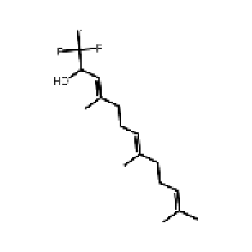 [CH2]C(F)(F)C(O)/C=C(\C)CC/C=C(\C)CCC=C(C)C